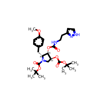 COc1ccc(C[C@@H]2[C@H](OC(=O)NCCc3cc[nH]n3)[C@@H](OC(=O)OC(C)(C)C)CN2C(=O)OC(C)(C)C)cc1